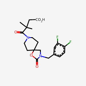 CC(C)(CC(=O)O)C(=O)N1CCC2(CC1)CN(Cc1ccc(F)c(F)c1)C(=O)O2